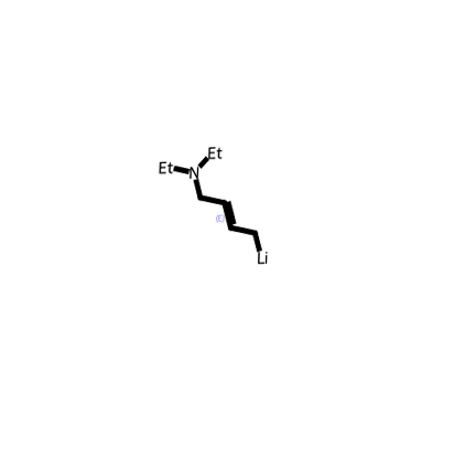 [Li][CH2]/C=C/CN(CC)CC